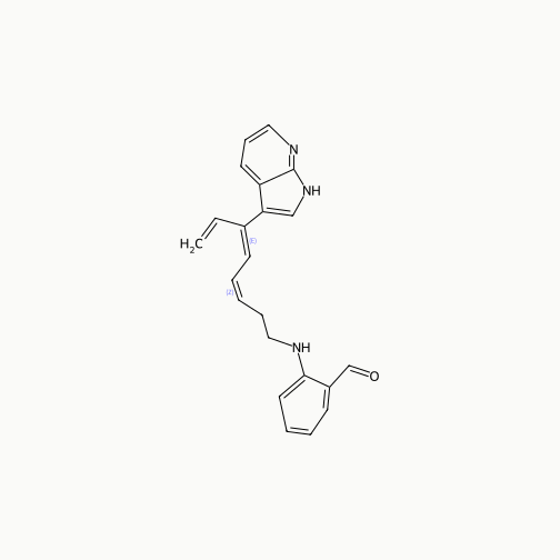 C=C/C(=C\C=C/CCNc1ccccc1C=O)c1c[nH]c2ncccc12